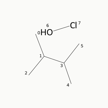 CC(C)C(C)C.OCl